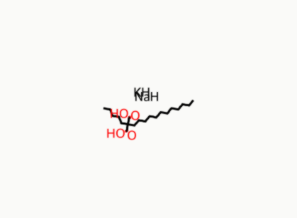 CCCCCCCCCCCCC(CCCCC)(C(=O)O)C(=O)O.[KH].[NaH]